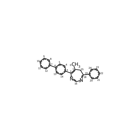 CC1=C(c2ccc(-c3ccccc3)cc2)N=CN=C(c2ccccc2)C1